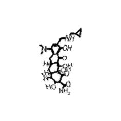 CN(C)c1cc(CNCC2CC2)c(O)c2c1C[C@H]1C[C@H]3C(N(C)C)C(O)C(C(N)=O)C(=O)[C@@]3(O)C(O)=C1C2=O